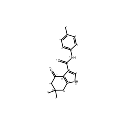 Cc1ccc(NC(=O)c2c[nH]c3c2C(=O)CC(C)(C)C3)cc1